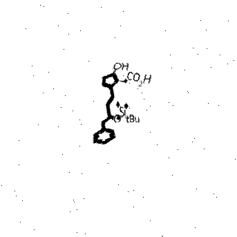 CC(C)(C)[Si](C)(C)OC(CCC1=CC[C@H](O)[C@@H]1CC(=O)O)Cc1ccccc1